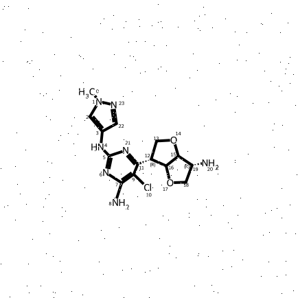 Cn1cc(Nc2nc(N)c(Cl)c([C@@H]3COC4C3OC[C@H]4N)n2)cn1